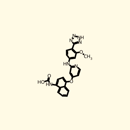 COc1cc(Nc2cc(Oc3ccc(NC(=O)O)c4ccccc34)ccn2)ccc1-c1nn[nH]n1